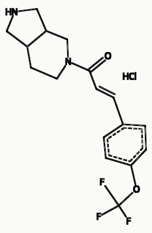 Cl.O=C(/C=C/c1ccc(OC(F)(F)F)cc1)N1CCC2CNCC2C1